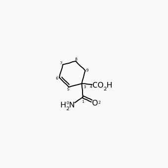 NC(=O)C1(C(=O)O)C=CCCC1